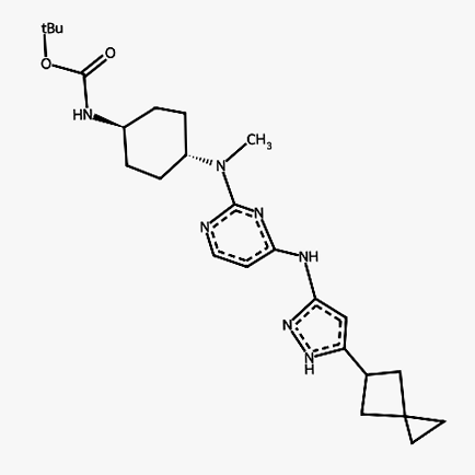 CN(c1nccc(Nc2cc(C3CC4(CC4)C3)[nH]n2)n1)[C@H]1CC[C@H](NC(=O)OC(C)(C)C)CC1